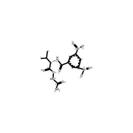 CC(C)[C@H](NC(=O)c1cc([N+](=O)[O-])cc([N+](=O)[O-])c1)C(=O)ONC(N)=O